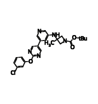 CC1(Nc2cncc(-c3cnc(Oc4cccc(Cl)c4)nc3)c2)CN(C(=O)OC(C)(C)C)C1